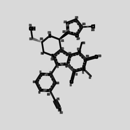 Cn1c(=O)c2c(-c3cccc(C#N)c3)n3c(c2n(C)c1=O)[C@H](c1ccc(Cl)o1)S[C@@H](CO)C3